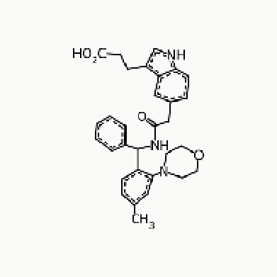 Cc1ccc(C(NC(=O)Cc2ccc3[nH]cc(CCC(=O)O)c3c2)c2ccccc2)c(N2CCOCC2)c1